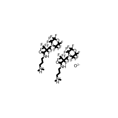 C[NH+](C)CCCNC(=O)C(F)(C(F)(F)F)C(F)(F)N1C(F)(F)C(F)(F)OC(F)(F)C1(F)F.C[NH+](C)CCCNC(=O)C(F)(C(F)(F)F)C(F)(F)N1C(F)(F)C(F)(F)OC(F)(F)C1(F)F.[O-2]